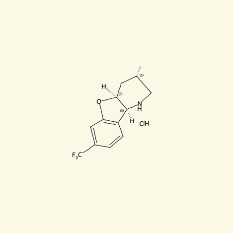 C[C@@H]1CN[C@H]2c3ccc(C(F)(F)F)cc3O[C@H]2C1.Cl